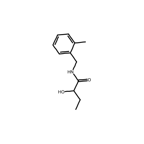 CCC(O)C(=O)NCc1ccccc1C